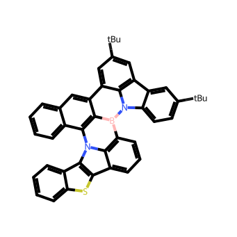 CC(C)(C)c1ccc2c(c1)c1cc(C(C)(C)C)cc3c1n2B1c2c-3cc3ccccc3c2-n2c3c1cccc3c1sc3ccccc3c12